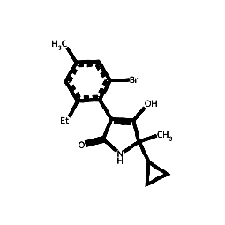 CCc1cc(C)cc(Br)c1C1=C(O)C(C)(C2CC2)NC1=O